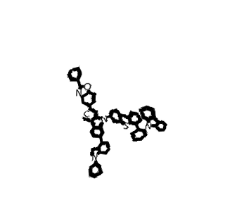 C1=CC2OC(c3ccccc3)=NC2C=C1c1ccc2c3ccc(-c4cccc5c4ccn5-c4ccccc4)cc3n(-c3ccc4c(c3)sc3c(-c5ccccc5-n5c6ccccc6c6ccccc65)cccc34)c2c1